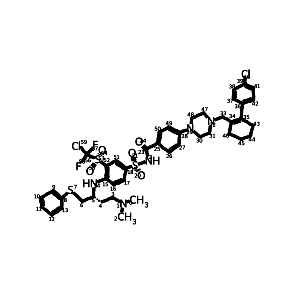 CN(C)CC[C@H](CSc1ccccc1)Nc1ccc(S(=O)(=O)NC(=O)c2ccc(N3CCN(CC4=C(c5ccc(Cl)cc5)CCCC4)CC3)cc2)cc1S(=O)(=O)C(F)(F)Cl